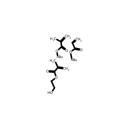 C=C(C)C(=O)OCCCC.C=C(C)C(=O)OCCO.C=CC(=O)OCCCC